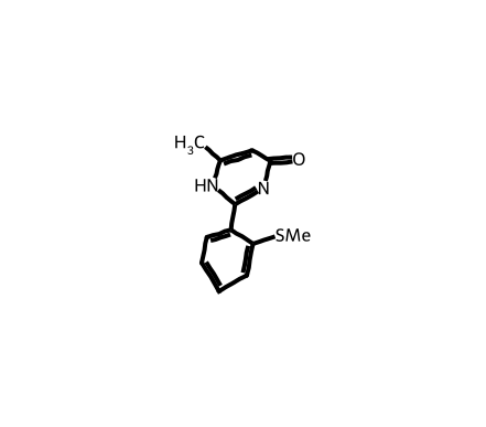 CSc1ccccc1-c1nc(=O)cc(C)[nH]1